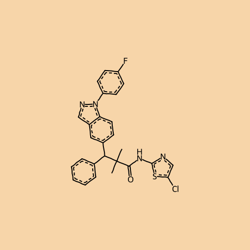 CC(C)(C(=O)Nc1ncc(Cl)s1)C(c1ccccc1)c1ccc2c(cnn2-c2ccc(F)cc2)c1